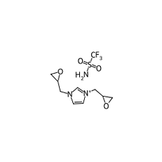 NS(=O)(=O)C(F)(F)F.c1c[n+](CC2CO2)cn1CC1CO1